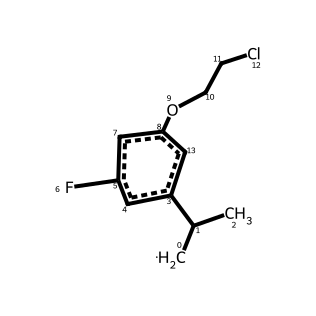 [CH2]C(C)c1cc(F)cc(OCCCl)c1